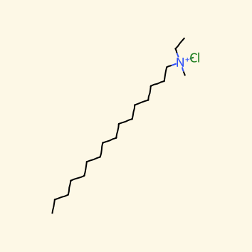 CCCCCCCCCCCCCCCC[N+](C)(Cl)CC